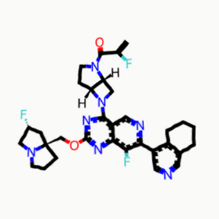 C=C(F)C(=O)N1CC[C@@H]2[C@H]1CN2c1nc(OC[C@@]23CCCN2C[C@H](F)C3)nc2c(F)c(-c3cncc4c3CCCC4)ncc12